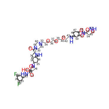 O=C(c1cc2cc(N3CC[C@@](O)(C(=O)NCc4cc(F)cc(F)c4)O3)ccc2[nH]1)N1CCN(CCOCCOCCOCCNc2ccc3c(c2)ON(C2CCONO2)O3)CC1